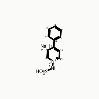 O=S(=O)(O)N[n+]1ccc(-c2ccccc2)cc1.[NaH]